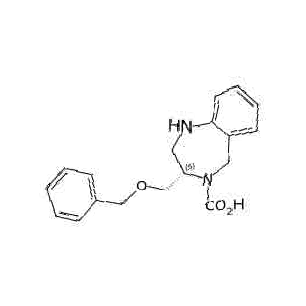 O=C(O)N1Cc2ccccc2NC[C@H]1COCc1ccccc1